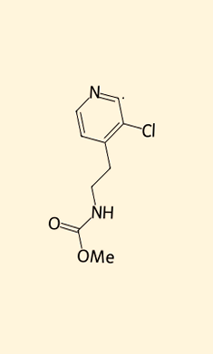 COC(=O)NCCc1ccn[c]c1Cl